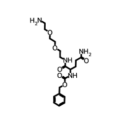 NCCOCCOCCNC(=O)C(CCC(N)=O)NC(=O)OCc1ccccc1